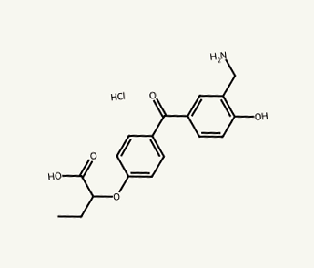 CCC(Oc1ccc(C(=O)c2ccc(O)c(CN)c2)cc1)C(=O)O.Cl